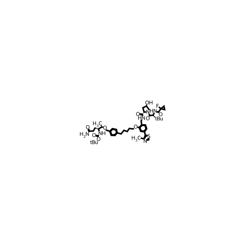 Cc1ncsc1-c1ccc(CNC(=O)[C@@H]2C[C@@H](O)CN2C(=O)[C@@H](NC(=O)C2(F)CC2)C(C)(C)C)c(OCCCCCc2ccc(CO[C@H](C)[C@H](CCC(N)=O)NC(=O)OC(C)(C)C)cc2)c1